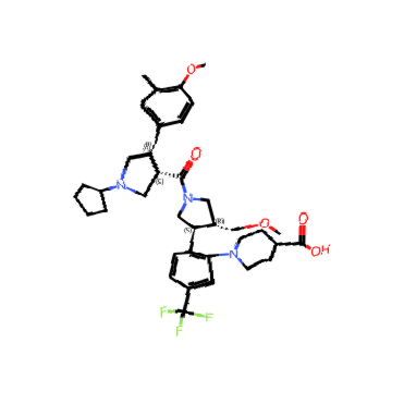 COC[C@H]1CN(C(=O)[C@@H]2CN(C3CCCC3)C[C@H]2c2ccc(OC)c(C)c2)C[C@@H]1c1ccc(C(F)(F)F)cc1N1CCC(C(=O)O)CC1